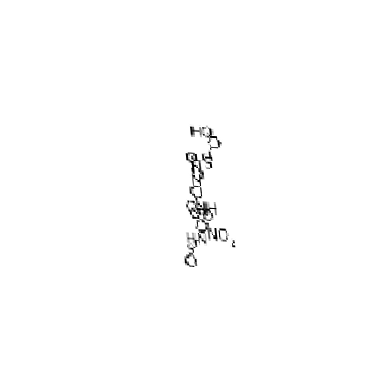 O=C(NS(=O)(=O)c1ccc(NCCSc2ccccc2)c([N+](=O)[O-])c1)c1ccc(N2CCN(C(=O)c3cc(-c4cccc(O)c4)cs3)CC2)cc1